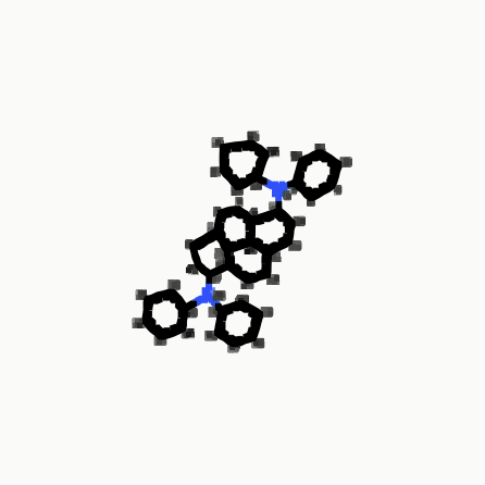 C1=c2ccc3c(N(c4ccccc4)c4ccccc4)ccc4ccc(c2c43)C(N(c2ccccc2)c2ccccc2)C1